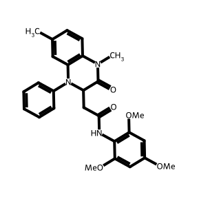 COc1cc(OC)c(NC(=O)CC2C(=O)N(C)c3ccc(C)cc3N2c2ccccc2)c(OC)c1